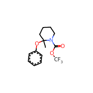 CC1(Oc2ccccc2)CCCCN1C(=O)OC(F)(F)F